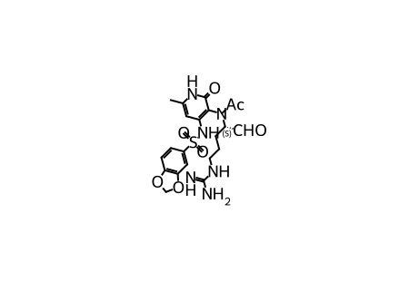 CC(=O)N(c1c(NS(=O)(=O)c2ccc3c(c2)OCO3)cc(C)[nH]c1=O)[C@H](C=O)CCCNC(=N)N